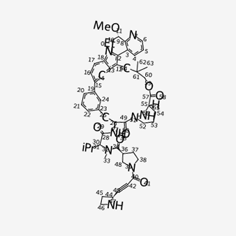 CCn1c(-c2cccnc2[C@H](C)OC)c2c3cc(ccc31)-c1cccc(c1)C[C@H](NC(=O)C(C(C)C)N(C)C(=O)[C@H]1CCN(C(=O)C#C[C@@H]3CCN3)C1)C(=O)N1CCC[C@H](N1)C(=O)OCC(C)(C)C2